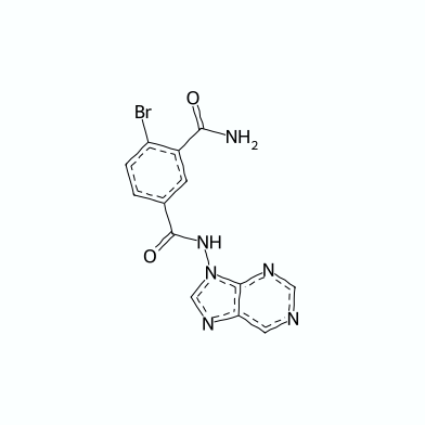 NC(=O)c1cc(C(=O)Nn2cnc3cncnc32)ccc1Br